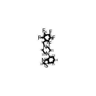 Fc1c(F)c(F)c(CN2CCN(c3cccc4s[c]nc34)CC2)c(F)c1F